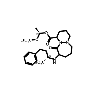 CCOC(=O)O[C@@H](C)OC(=O)C1CCCN2CCCC(N[C@@H](CCc3ccccc3)C(=O)OCC)C(=O)N12